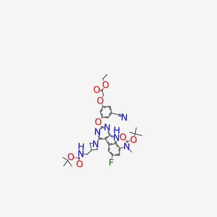 CCOC(=O)COc1cc(C#N)cc(Oc2nc(N3CC(CNC(=O)OC(C)(C)C)C3)c3c(n2)[nH]c2c(N(C)C(=O)OC(C)(C)C)cc(F)cc23)c1